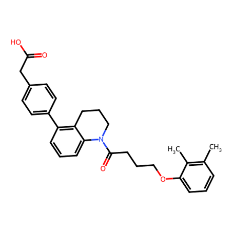 Cc1cccc(OCCCC(=O)N2CCCc3c(-c4ccc(CC(=O)O)cc4)cccc32)c1C